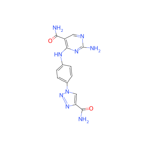 NC(=O)c1cn(-c2ccc(Nc3nc(N)ncc3C(N)=O)cc2)nn1